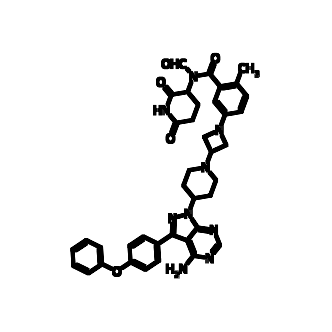 Cc1ccc(N2CC(N3CCC(n4nc(-c5ccc(Oc6ccccc6)cc5)c5c(N)ncnc54)CC3)C2)cc1C(=O)N(C=O)C1CCC(=O)NC1=O